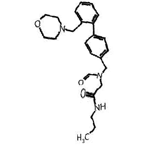 CCCNC(=O)CN(C=O)Cc1ccc(-c2ccccc2CN2CCOCC2)cc1